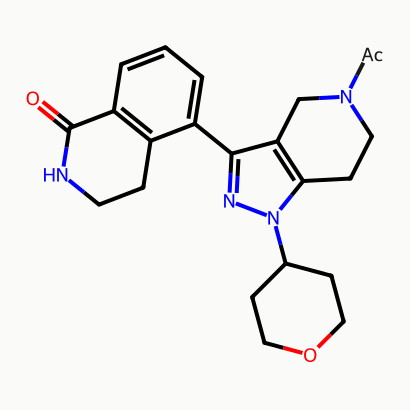 CC(=O)N1CCc2c(c(-c3cccc4c3CCNC4=O)nn2C2CCOCC2)C1